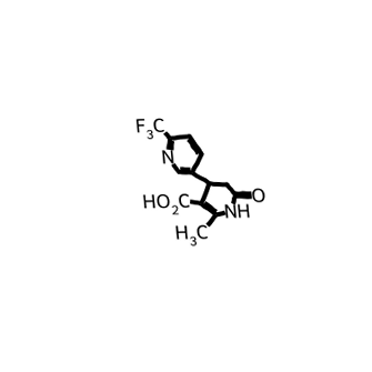 CC1=C(C(=O)O)C(c2ccc(C(F)(F)F)nc2)CC(=O)N1